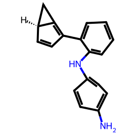 Nc1ccc(Nc2ccccc2C2=C3C[C@@H]3C=C2)cc1